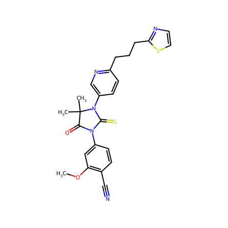 COc1cc(N2C(=O)C(C)(C)N(c3ccc(CCCc4nccs4)nc3)C2=S)ccc1C#N